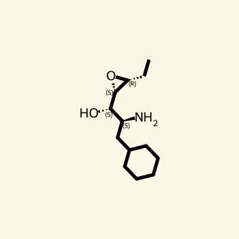 CC[C@H]1O[C@H]1[C@@H](O)[C@@H](N)CC1CCCCC1